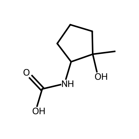 CC1(O)CCCC1NC(=O)O